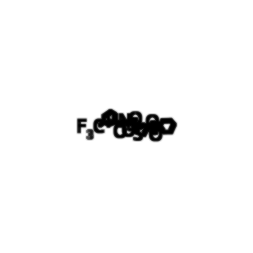 O=C(NS(=O)(=O)c1cc(S(=O)(=O)c2ccccc2)cs1)c1cccc(C(F)(F)F)c1